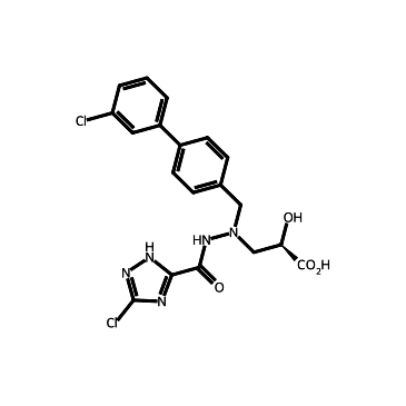 O=C(NN(Cc1ccc(-c2cccc(Cl)c2)cc1)C[C@@H](O)C(=O)O)c1nc(Cl)n[nH]1